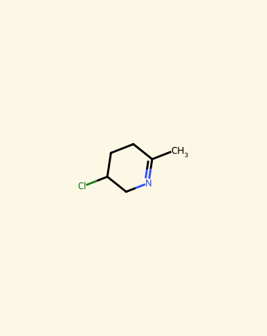 CC1=NCC(Cl)CC1